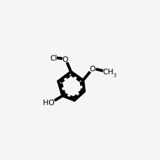 COc1ccc(O)cc1OCl